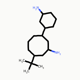 CC(C)(C)C1CCCC(C2CCCC(N)C2)CC(N)C1